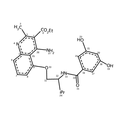 CCOC(=O)c1c(C)nc2cccc(OCC(NC(=O)c3cc(O)cc(O)c3)C(C)C)c2c1N